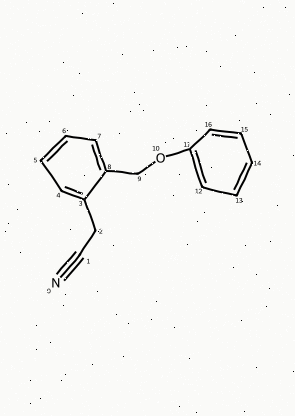 N#CCc1ccccc1COc1ccccc1